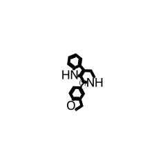 c1ccc2c3c([nH]c2c1)[C@H](c1ccc2c(c1)CCO2)NCC3